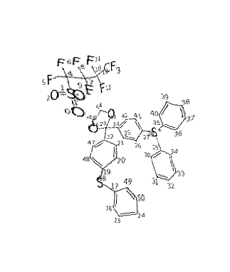 O=S(=O)([O-])C(F)(F)C(F)(F)C(F)(F)C(F)(F)F.c1ccc(Sc2ccc(C3(c4ccc([S+](c5ccccc5)c5ccccc5)cc4)OCCO3)cc2)cc1